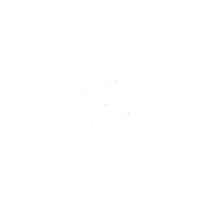 [O]=[Fe](=[O])(=[O])=[O]